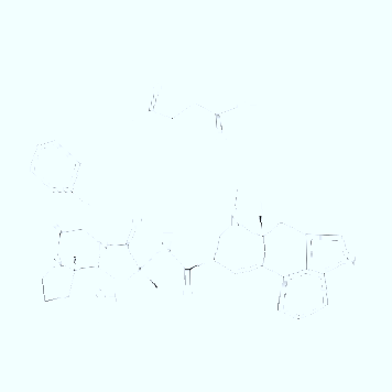 CN1C[C@H](C(=O)N[C@]2(C)O[C@@]3(O)[C@@H]4CCCN4C(=O)[C@H](Cc4ccccc4)N3C2=O)C=C2c3cccc4[nH]cc(c34)C[C@H]21.O=C(O)CCC(=O)O